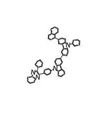 c1ccc(-c2nc3ccccc3nc2-c2ccc(-n3c4ccccc4c4cc(-c5ccc6c(c5)c5cc(-c7cccc8ccccc78)ccc5n6-c5ccccc5)ccc43)cc2)cc1